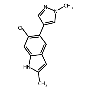 Cc1cc2cc(-c3cnn(C)c3)c(Cl)cc2[nH]1